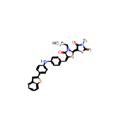 CCN1C(=O)/C(=c2/s/c(=C/c3ccc(Nc4ccc(-c5cc6ccccc6s5)cc4)cc3)c(=O)n2CC(=O)O)SC1=S